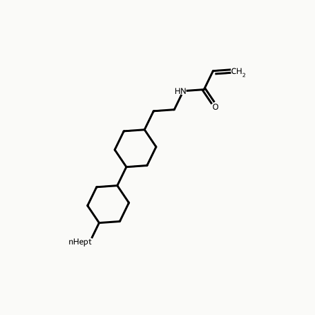 C=CC(=O)NCCC1CCC(C2CCC(CCCCCCC)CC2)CC1